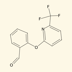 O=Cc1ccccc1Oc1cccc(C(F)(F)F)n1